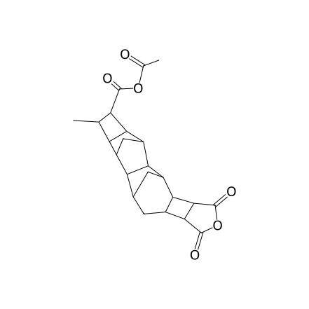 CC(=O)OC(=O)C1C(C)C2C3CC(C4C5CC(CC6C7C(=O)OC(=O)C7C65)C34)C12